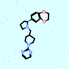 c1cnc(N2CCC(CN3CCC[C@H]3c3ccc4c(c3)OCCO4)CC2)nc1